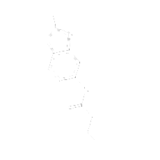 O=C(O)CCC(=S)Nc1ccc2oc(S)nc2c1